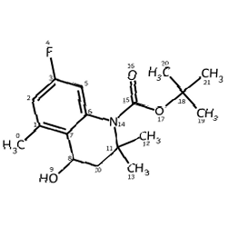 Cc1cc(F)cc2c1C(O)CC(C)(C)N2C(=O)OC(C)(C)C